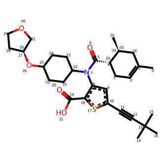 CC1=CC[C@H](C(=O)N(c2cc(C#CC(C)(C)C)sc2C(=O)O)C2CCC(O[C@H]3CCOC3)CC2)[C@@H](C)C1